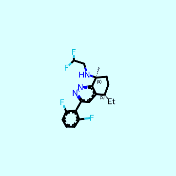 CC[C@H]1CC[C@](C)(NCC(F)F)c2nnc(-c3c(F)cccc3F)cc21